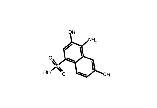 Nc1c(O)cc(S(=O)(=O)O)c2ccc(O)cc12